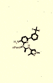 C=C(Nc1cn(C)nc1C)N(CCCCC)c1nc(-c2cccc(C(C)(F)F)c2)ccc1N